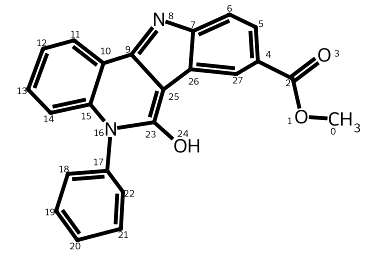 COC(=O)c1ccc2nc3c4ccccc4n(-c4ccccc4)c(O)c-3c2c1